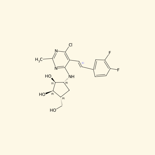 Cc1nc(Cl)c(/C=C/c2ccc(F)c(F)c2)c(N[C@@H]2C[C@H](CO)[C@@H](O)[C@H]2O)n1